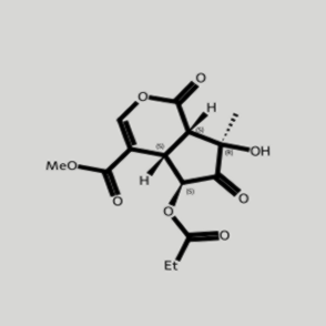 CCC(=O)O[C@@H]1C(=O)[C@](C)(O)[C@H]2C(=O)OC=C(C(=O)OC)[C@@H]12